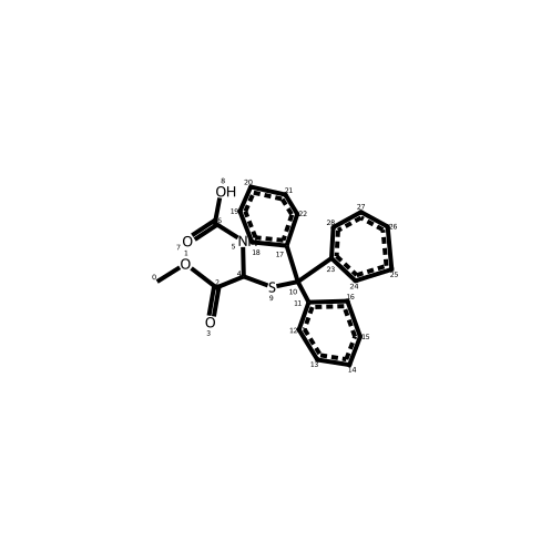 COC(=O)C(NC(=O)O)SC(c1ccccc1)(c1ccccc1)c1ccccc1